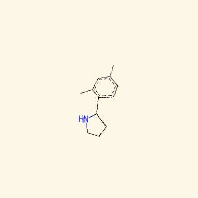 Cc1ccc(C2CCCN2)c(C)c1